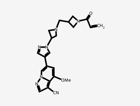 C=CC(=O)N1CC(CN2CC(n3cc(-c4cc(OC)c5c(C#N)cnn5c4)cn3)C2)C1